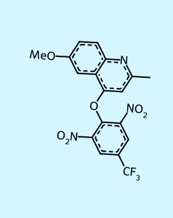 COc1ccc2nc(C)cc(Oc3c([N+](=O)[O-])cc(C(F)(F)F)cc3[N+](=O)[O-])c2c1